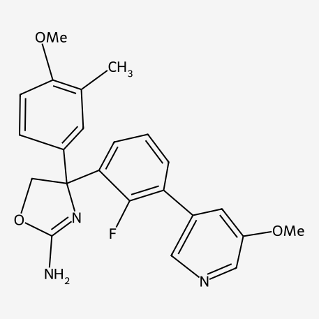 COc1cncc(-c2cccc(C3(c4ccc(OC)c(C)c4)COC(N)=N3)c2F)c1